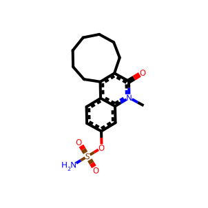 Cn1c(=O)c2c(c3ccc(OS(N)(=O)=O)cc31)CCCCCCC2